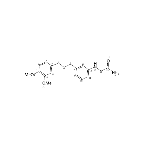 COc1ccc(CCCc2cccc(NCC(N)=O)c2)cc1OC